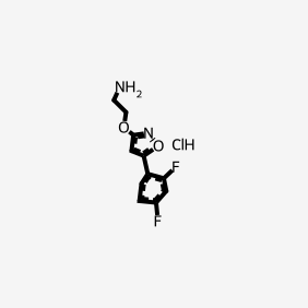 Cl.NCCOc1cc(-c2ccc(F)cc2F)on1